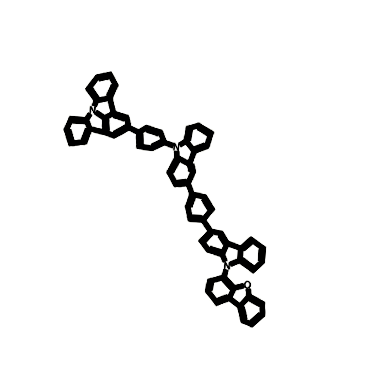 c1ccc2c(c1)oc1c(-n3c4ccccc4c4cc(-c5ccc(-c6ccc7c(c6)c6ccccc6n7-c6ccc(-c7cc8c9ccccc9n9c%10ccccc%10c(c7)c89)cc6)cc5)ccc43)cccc12